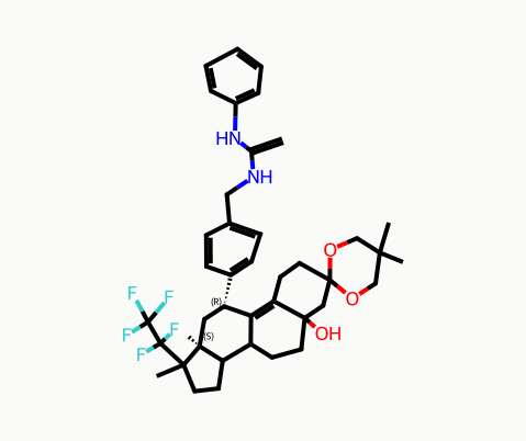 C=C(NCc1ccc([C@H]2C[C@@]3(C)C(CCC3(C)C(F)(F)C(F)(F)F)C3CCC4(O)CC5(CCC4=C32)OCC(C)(C)CO5)cc1)Nc1ccccc1